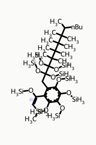 CCCCC(C)C(C)(C)C(C)(C)C(C)(C)C(C)(C)C(O[SiH3])(O[SiH3])C(Cc1c(O[SiH3])c(O[SiH3])c(O[SiH3])c(O[SiH3])c1/C(=C\[SiH2]C)O[SiH3])(O[SiH3])O[SiH3]